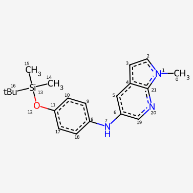 Cn1ccc2cc(Nc3ccc(O[Si](C)(C)C(C)(C)C)cc3)cnc21